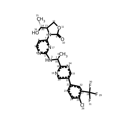 C[C@H](Nc1nccc(N2C(=O)OCC2[C@@H](C)O)n1)c1ncc(-c2ccc(Cl)c(C(F)(F)F)c2)cn1